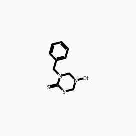 CCN1CSC(=S)N(Cc2ccccc2)C1